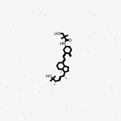 C=C1CC[C@@H](NC(=O)C(C)(C)CO)C/C1=C/C=C1\CCC[C@@]2(C)C1CCC2[C@H](C)/C=C/[C@H](C)C(C)(C)O